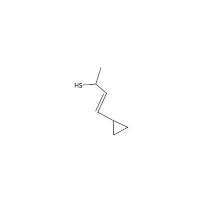 CC(S)/C=C/C1CC1